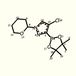 CC1(C)OB(c2nn(C3CCCCO3)cc2Cl)OC1(C)C